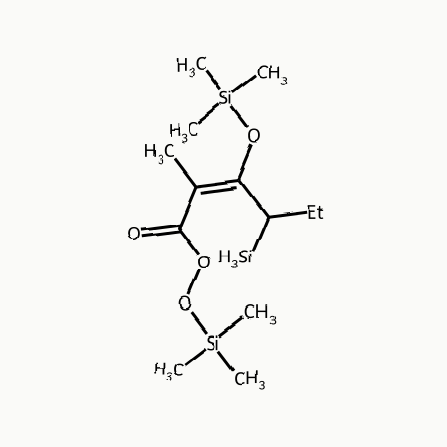 CCC([SiH3])C(O[Si](C)(C)C)=C(C)C(=O)OO[Si](C)(C)C